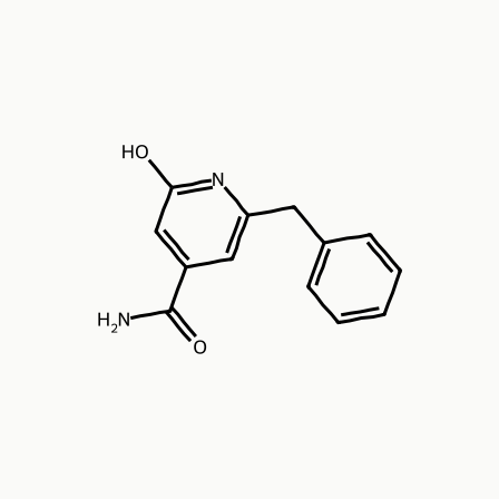 NC(=O)c1cc(O)nc(Cc2ccccc2)c1